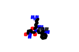 NCCCCC(N)C(=O)N(C(=O)C1CCC(=O)N1)C(Cc1c[nH]c2ccccc12)C(=O)O